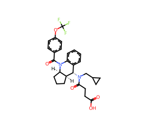 O=C(O)CCC(=O)N(CC1CC1)[C@H]1c2ccccc2N(C(=O)c2ccc(OC(F)(F)F)cc2)[C@@H]2CCC[C@@H]21